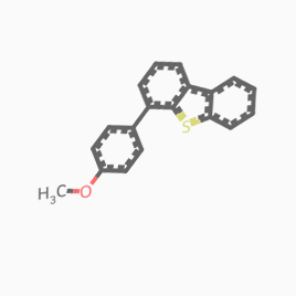 COc1ccc(-c2cccc3c2sc2ccccc23)cc1